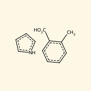 Cc1ccccc1C(=O)O.c1cc[nH]c1